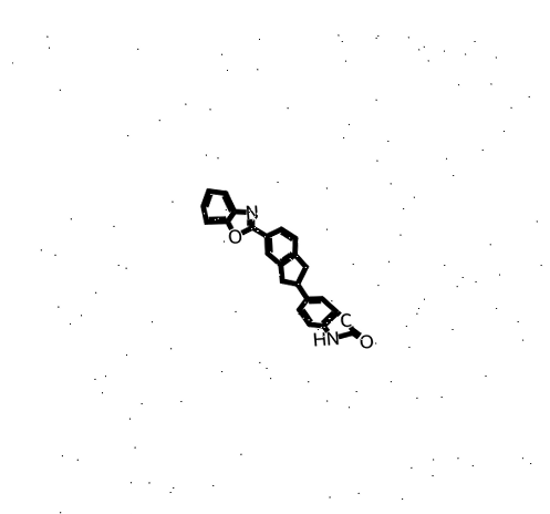 O=C1Cc2cc(C3Cc4ccc(-c5nc6ccccc6o5)cc4C3)ccc2N1